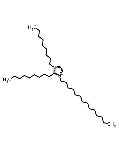 CCCCCCCCCCCCCC[n+]1ccn(CCCCCCCCC)c1CCCCCCCCC